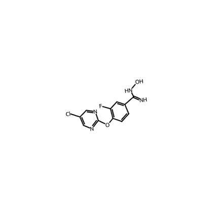 N=C(NO)c1ccc(Oc2ncc(Cl)cn2)c(F)c1